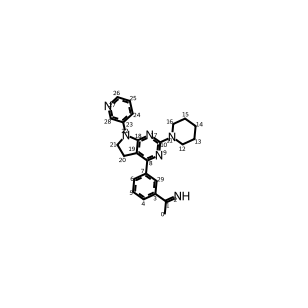 CC(=N)c1cccc(-c2nc(N3CCCCC3)nc3c2CCN3c2cccnc2)c1